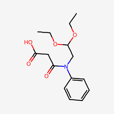 CCOC(CN(C(=O)CC(=O)O)c1ccccc1)OCC